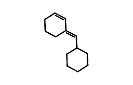 C1=CC(=CC2CCCCC2)CCC1